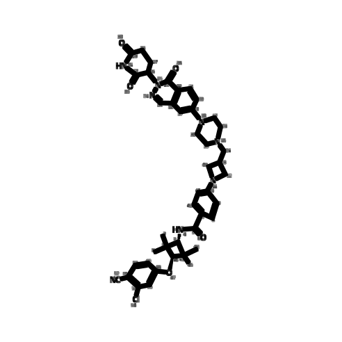 CC1(C)[C@H](NC(=O)c2ccc(N3CC(CN4CCN(c5ccc6c(=O)n(C7CCC(=O)NC7=O)ncc6c5)CC4)C3)cc2)C(C)(C)[C@H]1Oc1ccc(C#N)c(Cl)c1